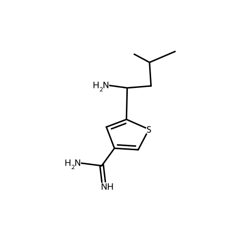 CC(C)CC(N)c1cc(C(=N)N)cs1